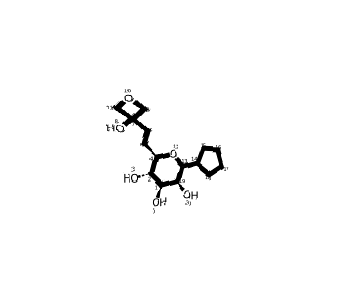 O[C@H]1[C@H](O)[C@@H](CCC2(O)COC2)OC(C2CCCC2)[C@H]1O